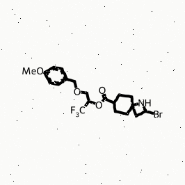 COc1ccc(COCC(OC(=O)C2CCC3(CC2)CC(Br)N3)C(F)(F)F)cc1